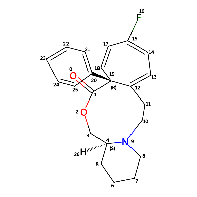 O=C1OC[C@@H]2CCCCN2CCC2=CC=C(F)C=C[C@@]12c1ccccc1